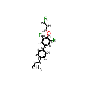 CCCc1ccc(-c2cc(F)c(OCCCF)c(F)c2)cc1